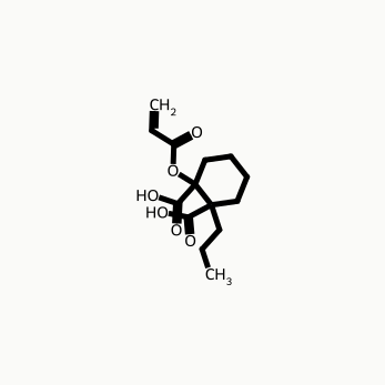 C=CC(=O)OC1(C(=O)O)CCCCC1(CCC)C(=O)O